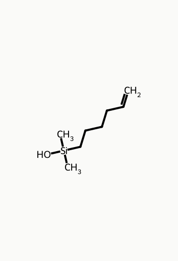 C=CCCCC[Si](C)(C)O